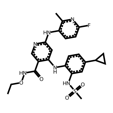 CCONC(=O)c1cnc(Nc2ccc(F)nc2C)cc1Nc1ccc(C2CC2)cc1NS(C)(=O)=O